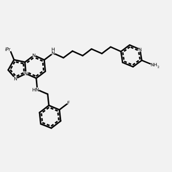 CC(C)c1cnn2c(NCc3ccccc3F)cc(NCCCCCCc3ccc(N)nc3)nc12